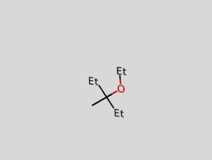 CCOC(C)(CC)CC